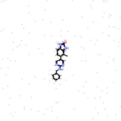 Cc1c(-c2cnc(NCc3ccccc3)nc2)ccc2[nH]c(=O)[nH]c12